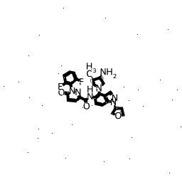 C[C@H]1CN(c2c(NC(=O)c3ccc(=O)n(-c4c(F)cccc4F)n3)ccc3c2cnn3[C@H]2CCOC2)C[C@@H]1N